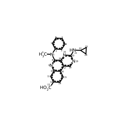 CN(c1ccccc1)c1nc2cc(C(=O)O)ccc2c2cnc(NC3CC3)nc12